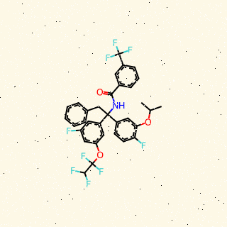 CC(C)Oc1cc(C(Cc2ccccc2)(NC(=O)c2cccc(C(F)(F)F)c2)c2cc(F)cc(OC(F)(F)C(F)F)c2)ccc1F